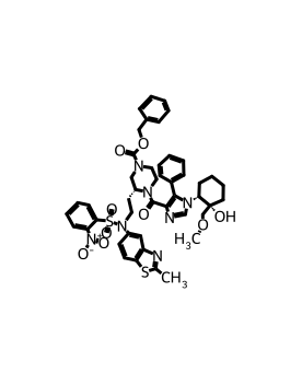 COC[C@]1(O)CCCC[C@H]1n1cnc(C(=O)N2CCN(C(=O)OCc3ccccc3)C[C@H]2CCN(c2ccc3sc(C)nc3c2)S(=O)(=O)c2ccccc2[N+](=O)[O-])c1-c1ccccc1